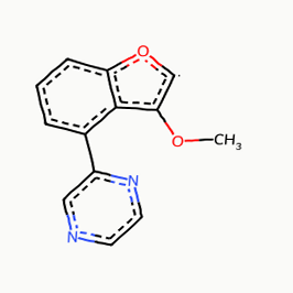 COc1[c]oc2cccc(-c3cnccn3)c12